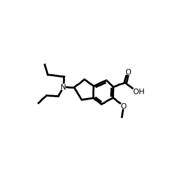 CCCN(CCC)C1Cc2cc(OC)c(C(=O)O)cc2C1